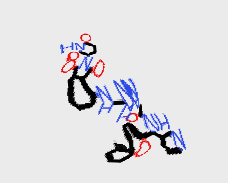 O=C1CCC(N2C(=O)c3cccc(NCC4N=NN(CC(=O)NC(c5cccnc5)c5cc6ccccc6o5)N4)c3C2=O)C(=O)N1